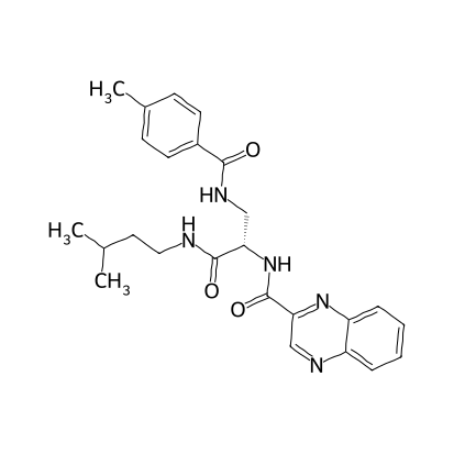 Cc1ccc(C(=O)NC[C@H](NC(=O)c2cnc3ccccc3n2)C(=O)NCCC(C)C)cc1